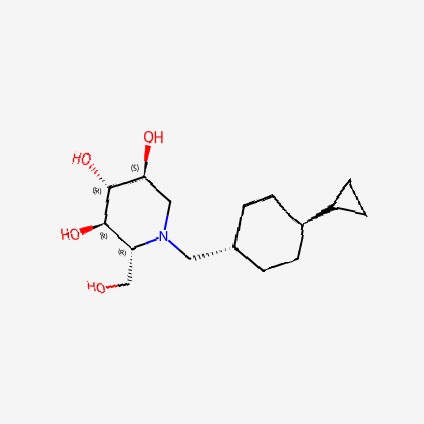 OC[C@@H]1[C@@H](O)[C@H](O)[C@@H](O)CN1C[C@H]1CC[C@H](C2CC2)CC1